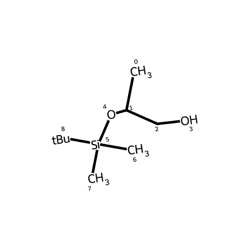 CC(CO)O[Si](C)(C)C(C)(C)C